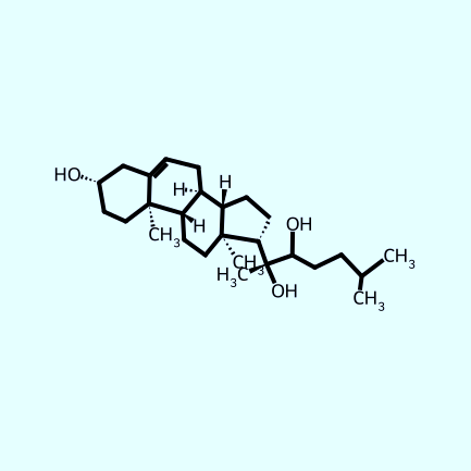 CC(C)CCC(O)[C@](C)(O)[C@H]1CC[C@H]2[C@@H]3CC=C4C[C@@H](O)CC[C@]4(C)[C@H]3CC[C@@]21C